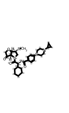 CS[C@H]1CN(C(=O)[C@@H](NC(=O)c2ccc(N3CCN(C4CC4)CC3)cc2)C2CCCCC2)[C@@H]2C(=O)CO[C@H]12